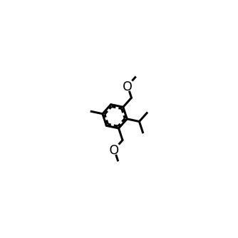 COCc1cc(C)cc(COC)c1C(C)C